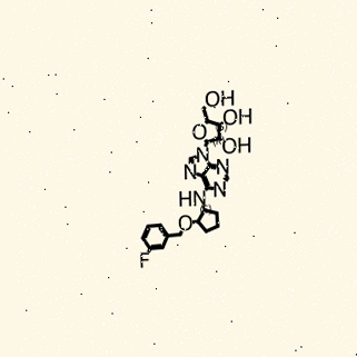 OCC1OC(n2cnc3c(N[C@H]4CCCC4OCc4cccc(F)c4)ncnc32)[C@H](O)[C@@H]1O